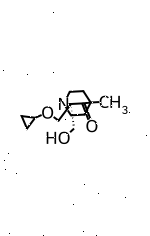 CC12CCN(CC1)[C@](CO)(COC1CC1)C2=O